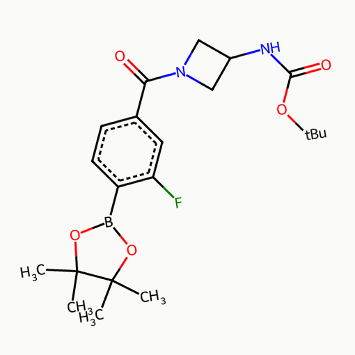 CC(C)(C)OC(=O)NC1CN(C(=O)c2ccc(B3OC(C)(C)C(C)(C)O3)c(F)c2)C1